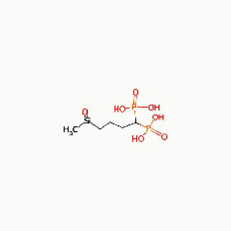 C[Si](=O)CCCC(P(=O)(O)O)P(=O)(O)O